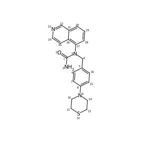 NC(=O)N(Cc1ccc(N2CCSCC2)cc1)c1cccc2cnccc12